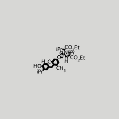 CCOC(=O)[C@@H](NP(=O)(COc1cc(C)c(Cc2ccc(O)c(C(C)C)c2)c(C)c1)N[C@@H](C(=O)OCC)C(C)C)C(C)C